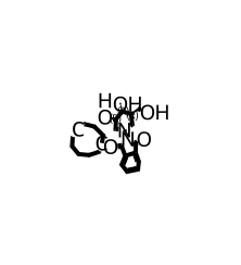 C1CCCCCCCCC1.O=C1c2ccccc2C(=O)N1N1C[C@H](CO)[C@@H](O)[C@H](O)C1